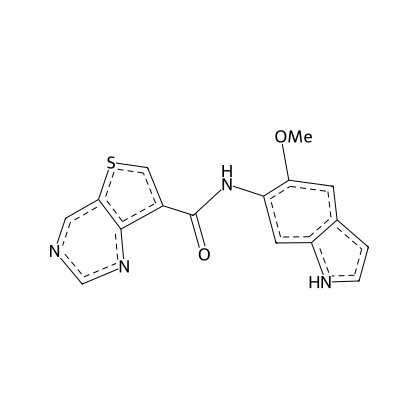 COc1cc2cc[nH]c2cc1NC(=O)c1csc2cncnc12